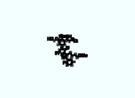 CCOCC(O)[C@@H]1C[C@H](N(CC(C)C)C(=O)c2nnn(-c3ccccc3F)c2CCCCOC)CN(C(=O)O)C1C(C)(C)C